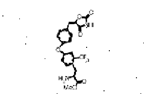 COC(=O)C(N)Cc1ccc(Oc2ccc(C=C3OC(=O)NC3=O)cc2)cc1C(F)(F)F